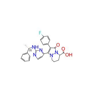 C[C@H](Nc1nccc(-c2c(-c3ccc(F)cc3)c(=O)n3n2CCCC3C(=O)O)n1)c1ccccc1